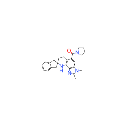 Cc1nc2c3c(c(C(=O)N4CCCC4)cc2n1C)CCC1(Cc2ccccc2C1)N3